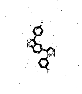 Fc1ccc(-c2onc3ccc(-c4ccnn4-c4cccc(F)c4)cc23)cc1